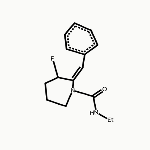 CCNC(=O)N1CCCC(F)C1=Cc1ccccc1